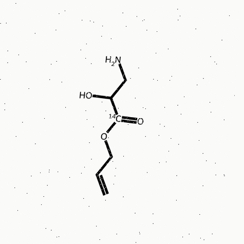 C=CCO[14C](=O)C(O)CN